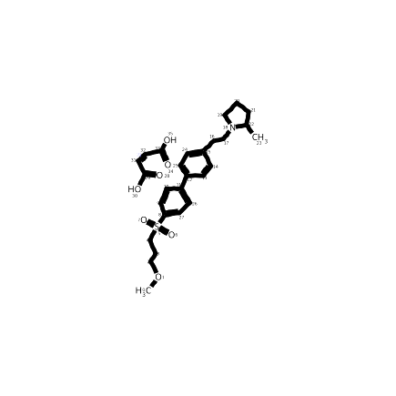 COCCCS(=O)(=O)c1ccc(-c2ccc(CCN3CCCC3C)cc2)cc1.O=C(O)/C=C\C(=O)O